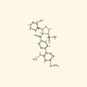 COc1ncc(-c2ccc(C(=O)N3[C@@H](c4ccccc4Cl)CC[C@H]3C(=O)O)cc2)c(OC)n1